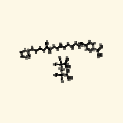 O=C(CCSSc1ccccn1)NCCOCCOCCNc1ccc(C(=O)O)cc1.O=C(O)C(F)(F)F.O=C(O)C(F)(F)F